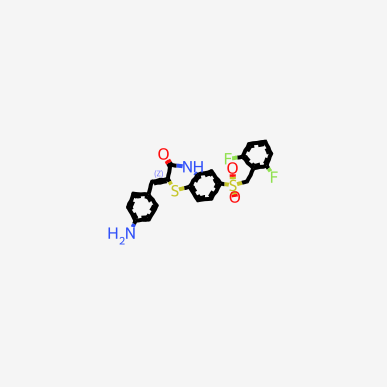 Nc1ccc(/C=C2\Sc3ccc(S(=O)(=O)Cc4c(F)cccc4F)cc3NC2=O)cc1